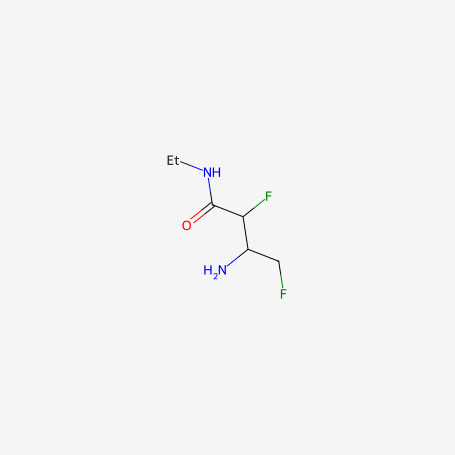 CCNC(=O)C(F)C(N)CF